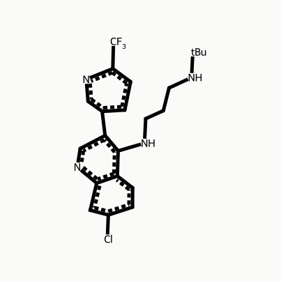 CC(C)(C)NCCCNc1c(-c2ccc(C(F)(F)F)nc2)cnc2cc(Cl)ccc12